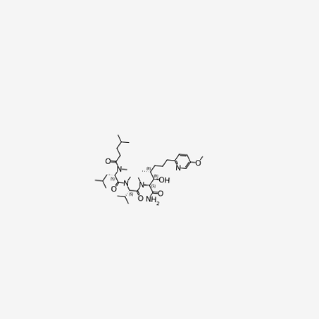 COc1ccc(CCC[C@@H](C)[C@@H](O)[C@@H](C(N)=O)N(C)C(=O)[C@H](C(C)C)N(C)C(=O)[C@H](CC(C)C)N(C)C(=O)CCC(C)C)nc1